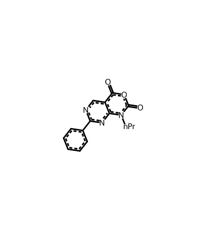 CCCn1c(=O)oc(=O)c2cnc(-c3ccccc3)nc21